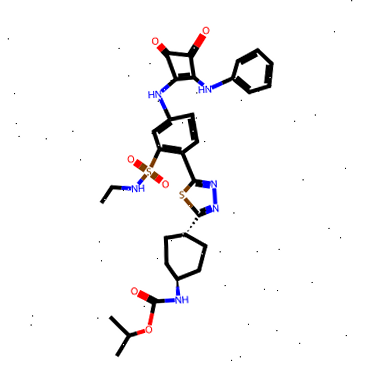 CCNS(=O)(=O)c1cc(Nc2c(Nc3ccccc3)c(=O)c2=O)ccc1-c1nnc([C@H]2CC[C@H](NC(=O)OC(C)C)CC2)s1